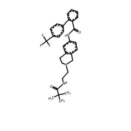 CC(C)(C)C(=O)NCCN1CCc2cc(NC(=O)c3ccccc3-c3ccc(C(F)(F)F)cc3)ccc2C1